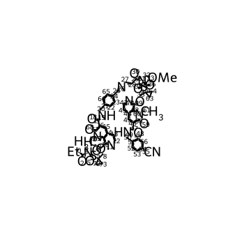 CCC(=O)NS(=O)(=O)C1(COc2nccc3cc(C(=O)NCc4ccc(C#[N+]CCC(=O)N(COC)S(=O)(=O)C5(COc6nccc7cc(C(=O)NCc8ccc(C#N)cc8)c(=O)n(C)c67)CC5)cc4)c(=O)n(C)c23)CC1